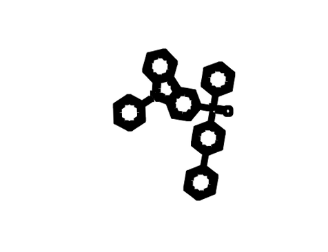 O=P(c1ccccc1)(c1ccc(-c2ccccc2)cc1)c1ccc2c(c1)c1ccccc1n2-c1ccccc1